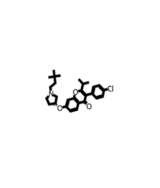 CC(C)c1oc2cc(O[C@@H]3CCN(CCC(C)(C)C)C3)ccc2c(=O)c1-c1ccc(Cl)cc1